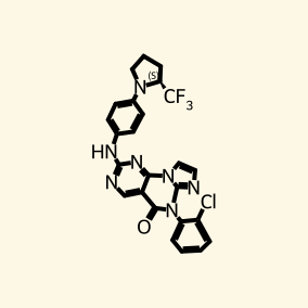 O=c1c2cnc(Nc3ccc(N4CCC[C@H]4C(F)(F)F)cc3)nc2n2ccnc2n1-c1ccccc1Cl